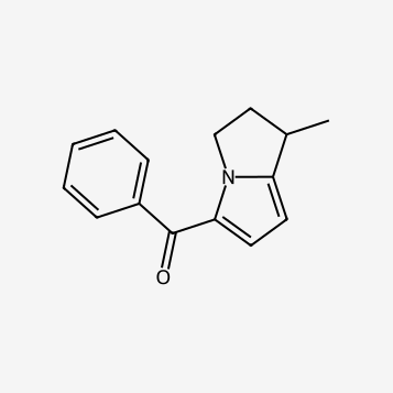 CC1CCn2c(C(=O)c3ccccc3)ccc21